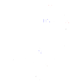 O=C1COc2ccc(-c3csc(-c4ccccc4C(F)(F)F)n3)cc2N1